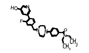 CCN(CC)C(=O)c1ccc(N2CCN(Cc3ccc(-c4cncc(O)c4)c(F)c3)CC2)cc1